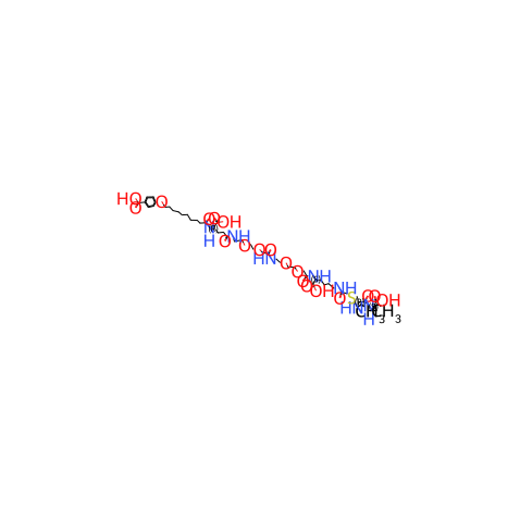 CN[C@@H](CSCC(=O)NCCCC[C@H](NC(=O)COCCOCCNC(=O)COCCOCCNC(=O)CC[C@@H](NC(=O)CCCCCCCCCOc1ccc(C(=O)O)cc1)C(=O)O)C(=O)O)C(=O)N[C@@H](C)C(=O)O